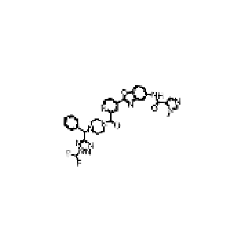 Cn1cncc1C(=O)Nc1ccc2oc(-c3ccnc(C(=O)N4CCN(C(c5ccccc5)c5nnn(C(F)F)n5)CC4)c3)nc2c1